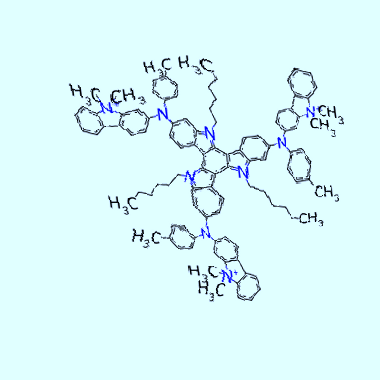 CCCCCCn1c2cc(N(c3ccc(C)cc3)c3ccc4c(c3)[N+](C)(C)c3ccccc3-4)ccc2c2c1c1c3ccc(N(c4ccc(C)cc4)c4ccc5c(c4)[N+](C)(C)c4ccccc4-5)cc3n(CCCCCC)c1c1c3ccc(N(c4ccc(C)cc4)c4ccc5c(c4)[N+](C)(C)c4ccccc4-5)cc3n(CCCCCC)c21